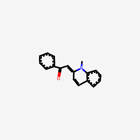 CN1/C(=C/C(=O)c2ccccc2)C=Cc2ccccc21